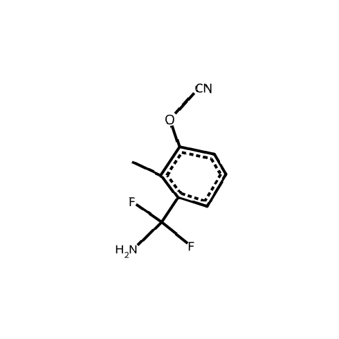 Cc1c(OC#N)cccc1C(N)(F)F